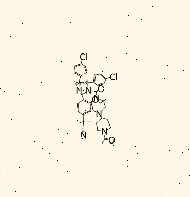 CCOc1cc(C(C)(C)C#N)ccc1C1=N[C@@](C)(c2ccc(Cl)cc2)[C@@](C)(c2ccc(Cl)cc2)N1C(=O)N1CCN(C2CCN(C(C)=O)CC2)CC1